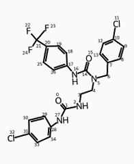 O=C(NCCN(Cc1ccc(Cl)cc1)C(=O)Nc1ccc(C(F)(F)F)cc1)Nc1ccc(Cl)cc1